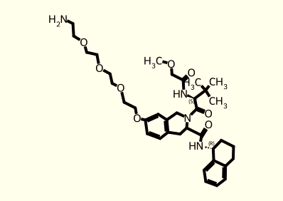 COCC(=O)N[C@H](C(=O)N1Cc2cc(OCCOCCOCCOCCN)ccc2CC1C(=O)N[C@@H]1CCCc2ccccc21)C(C)(C)C